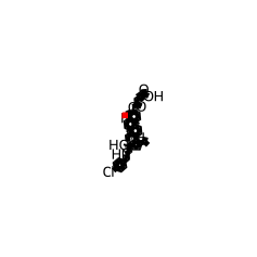 CC(C)C1=C2[C@H]3CCC4[C@@]5(C)CC[C@H](OC(=O)CC(C)(C)C(=O)O)C(C)(C)[C@@H]5CC[C@@]4(C)[C@]3(C)CC[C@@]2([C@H](O)CNCc2ccc(Cl)cc2)CC1